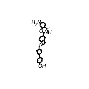 C[C@H](NC(=O)c1ccc2c(ccn2Cc2ccc(-c3ccc(O)cc3)cc2)c1)c1ccc(N)cc1